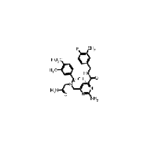 Cc1cc(CNC(=O)c2cc(CN(CC(N)=O)[C@@H](C)c3ccc(C(=O)O)c(C)c3)nc(N)n2)ccc1F